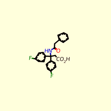 O=C(O)CC(NC(=O)Cc1ccccc1)(c1ccc(F)cc1)c1ccc(F)cc1